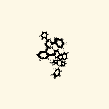 c1ccc(-c2cc(-c3ccccc3-c3ccc4c(c3)C3(c5ccccc5-4)c4ccccc4N(c4ccccc4)c4ccccc43)nc(-c3ccccc3)n2)cc1